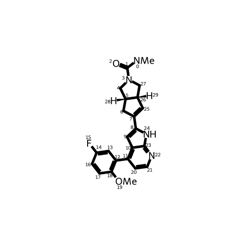 CNC(=O)N1C[C@H]2CC(c3cc4c(-c5cc(F)ccc5OC)ccnc4[nH]3)=C[C@H]2C1